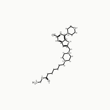 CCOC(=O)CCCCCCN1CCN(Cc2cc3nc(Cl)nc(N4CCOCC4)c3s2)CC1